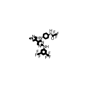 Cn1cc(-c2cnc(Nc3cc(C(F)(F)F)cc(C(F)(F)F)c3)nc2N[C@H]2CC[C@H](NC(=O)C(F)(F)F)CC2)cn1